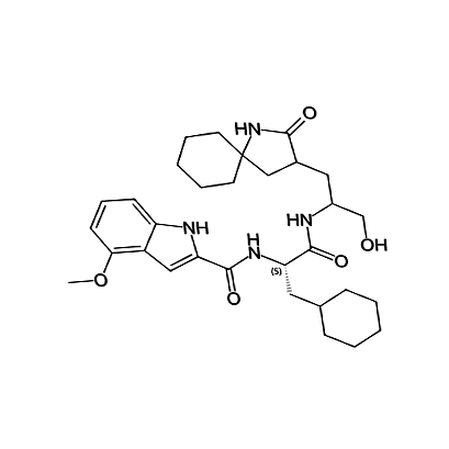 COc1cccc2[nH]c(C(=O)N[C@@H](CC3CCCCC3)C(=O)NC(CO)CC3CC4(CCCCC4)NC3=O)cc12